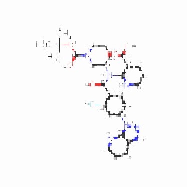 CC(C)(C)OC(=O)N1CCC[C@@H](N(C(=O)c2ccc(-n3nnc4cccnc43)cc2F)c2ncccc2C(=O)O)C1